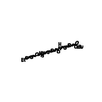 CCOCCOCCOCCC(=O)NCCOCCOCCC(=O)NCCOCCOCCC(=O)OC(C)(C)C